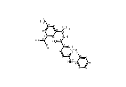 C[C@@H](NC(=O)C(=N)/C=C\C(=O)Nc1ccccc1F)c1cc(N)cc(C(F)F)c1